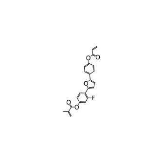 C=CC(=O)Oc1ccc(-c2ccc(-c3ccc(OC(=O)C(=C)C)cc3F)o2)cc1